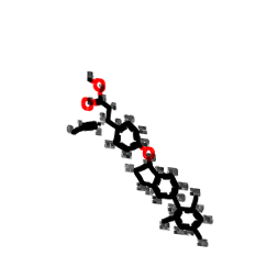 CC#C[C@H](CC(=O)OC)c1ccc(OC2CCc3cc(-c4c(C)cc(C)cc4C)ccc32)cc1